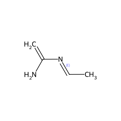 C=C(N)/N=C/C